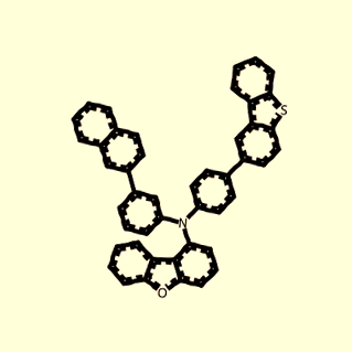 c1cc(-c2ccc3ccccc3c2)cc(N(c2ccc(-c3ccc4sc5ccccc5c4c3)cc2)c2cccc3oc4ccccc4c23)c1